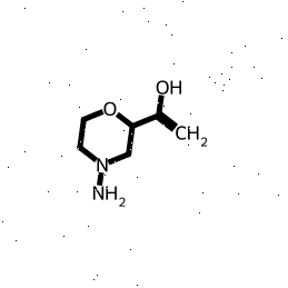 C=C(O)C1CN(N)CCO1